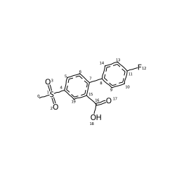 CS(=O)(=O)c1ccc(-c2ccc(F)cc2)c(C(=O)O)c1